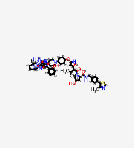 Cc1ncsc1-c1ccc(CNC(=O)[C@@H]2C[C@@H](O)CN2C(=O)C(c2cc(OC3CCC(N4CCC(c5cnc(N6C7CC[C@H]6CN(c6cc(-c8ccccc8O)nnc6N)C7)nc5)CC4)CC3)no2)C(C)C)cc1